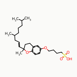 CC(C)CCCC(C)CC=CC1(C)CCc2cc(OCCCCS(=O)(=O)O)ccc2O1